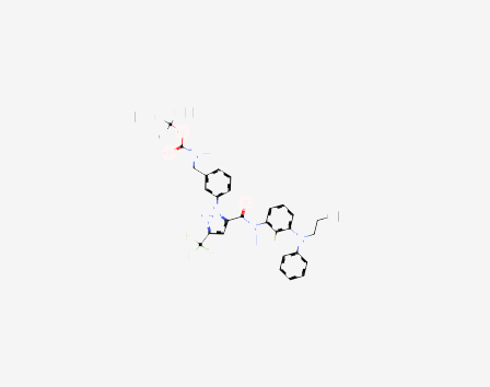 CCCN(c1ccccc1)c1cccc(NC(=O)c2cc(C(F)(F)F)nn2-c2cccc(CNC(=O)OC(C)(C)C)c2)c1F